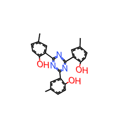 Cc1ccc(O)c(-c2nc(-c3cc(C)ccc3O)nc(-c3cc(C)ccc3O)n2)c1